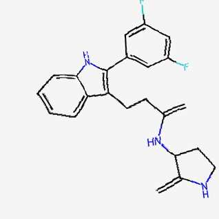 C=C(CCc1c(-c2cc(F)cc(F)c2)[nH]c2ccccc12)NC1CCNC1=C